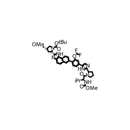 COC[C@H]1C[C@@H](c2nc3ccc4cc(-c5ccc(-c6cnc(C7CCCN7C(=O)C(NC(=O)OC)C(C)C)[nH]6)cc5OC(F)F)ccc4c3[nH]2)N(C(=O)OC(C)(C)C)C1